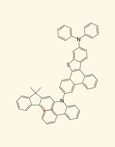 CC1(C)c2ccccc2-c2ccc(N(c3ccc4c(c3)c3ccccc3c3c5ccc(N(c6ccccc6)c6ccccc6)cc5sc43)c3ccccc3-c3ccccc3)cc21